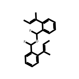 CC=C(C)c1ccccc1C(F)OC(F)c1ccccc1C(C)=CC